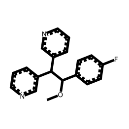 COC(c1ccc(F)cc1)C(c1cccnc1)c1cccnc1